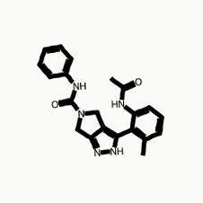 CC(=O)Nc1cccc(C)c1-c1[nH]nc2c1CN(C(=O)Nc1ccccc1)C2